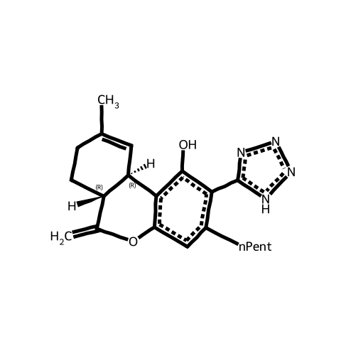 C=C1Oc2cc(CCCCC)c(-c3nnn[nH]3)c(O)c2[C@@H]2C=C(C)CC[C@@H]12